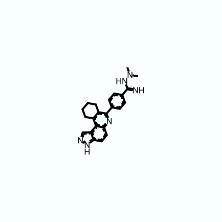 CN(C)NC(=N)c1ccc(-c2nc3ccc4[nH]ncc4c3c3c2CCCC3)cc1